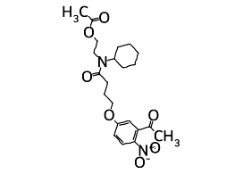 CC(=O)OCCN(C(=O)CCCOc1ccc([N+](=O)[O-])c(C(C)=O)c1)C1CCCCC1